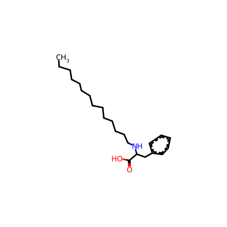 CCCCCCCCCCCCCCNC(Cc1ccccc1)C(=O)O